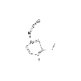 Cc1ccc(N=C=O)cc1C(C)C